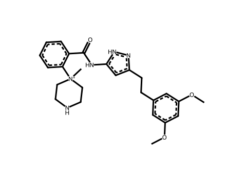 COc1cc(CCc2cc(NC(=O)c3ccccc3[N+]3(C)CCNCC3)[nH]n2)cc(OC)c1